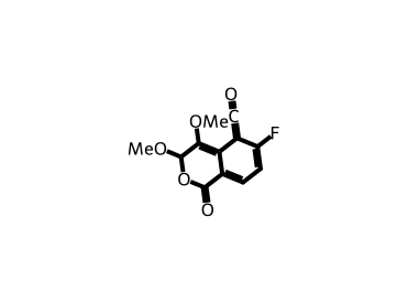 COC1=c2c(ccc(F)c2=C=O)C(=O)OC1OC